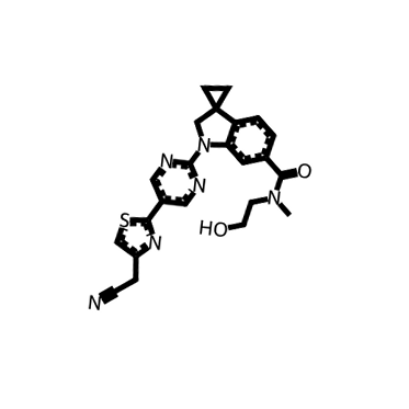 CN(CCO)C(=O)c1ccc2c(c1)N(c1ncc(-c3nc(CC#N)cs3)cn1)CC21CC1